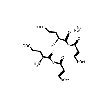 CCCCCCCCC=CC(=O)OC(=O)[C@@H](N)CCC(=O)[O-].CCCCCCCCC=CC(=O)OC(=O)[C@@H](N)CCC(=O)[O-].[Na+].[Na+]